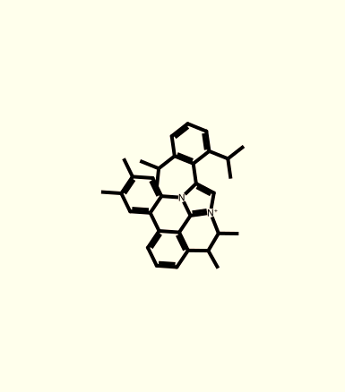 Cc1cc2c3cccc4c3c3n(c(-c5c(C(C)C)cccc5C(C)C)c[n+]3C(C)C4C)c2cc1C